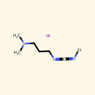 CCN=C=NCCCN(C)C.I